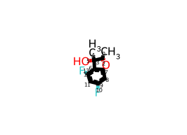 CC(=O)C(C)(O)c1ccc(F)cc1F